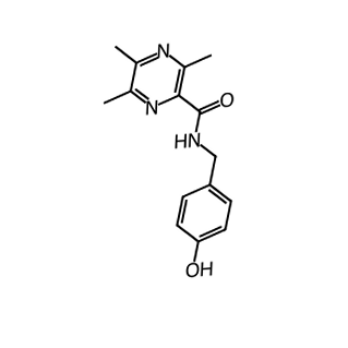 Cc1nc(C)c(C(=O)NCc2ccc(O)cc2)nc1C